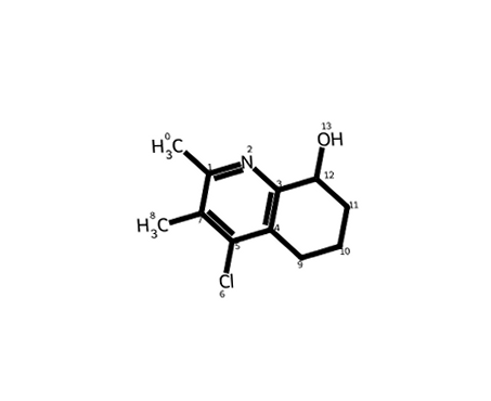 Cc1nc2c(c(Cl)c1C)CCCC2O